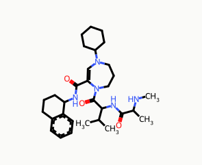 CNC(C)C(=O)NC(C(=O)N1CCCN(C2CCCCC2)C=C1C(=O)NC1CCCc2ccccc21)C(C)C